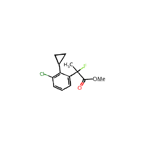 COC(=O)C(C)(F)c1cccc(Cl)c1C1CC1